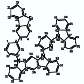 c1cc(-c2ccc3sc4ccccc4c3c2)cc(-n2c3ccccc3c3cc4c5ccccc5n(-c5cccc(-n6c7ccccc7c7ccccc76)n5)c4cc32)c1